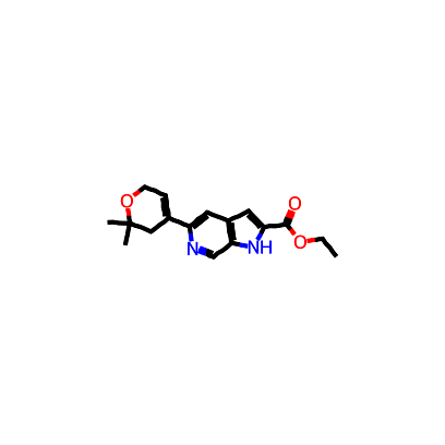 CCOC(=O)c1cc2cc(C3=CCOC(C)(C)C3)ncc2[nH]1